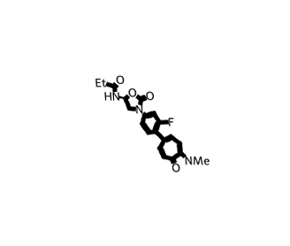 CCC(=O)N[C@@H]1CN(c2ccc(-c3ccc(NC)c(=O)cc3)c(F)c2)C(=O)O1